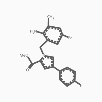 COC(=O)c1cc(-c2ccc(F)cc2)cn1Cc1cc(Br)cc(C)c1N